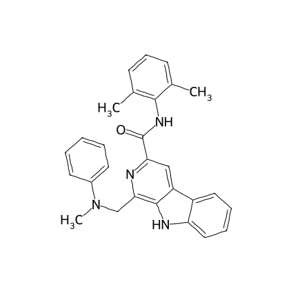 Cc1cccc(C)c1NC(=O)c1cc2c([nH]c3ccccc32)c(CN(C)c2ccccc2)n1